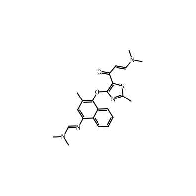 Cc1nc(Oc2c(C)cc(N=CN(C)C)c3ccccc23)c(C(=O)/C=C/N(C)C)s1